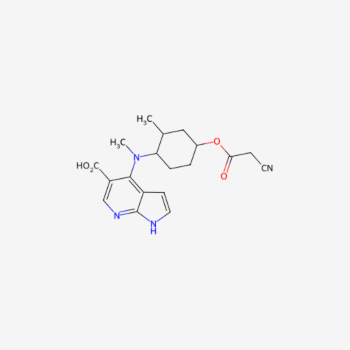 CC1CC(OC(=O)CC#N)CCC1N(C)c1c(C(=O)O)cnc2[nH]ccc12